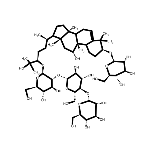 C[C@H](CC[C@@H](O[C@@H]1O[C@H](CO)[C@@H](O)[C@H](O)[C@H]1O[C@H]1O[C@@H](CO)[C@H](O[C@H]2O[C@H](CO)[C@@H](O)[C@H](O)[C@H]2O)[C@@H](O)[C@@H]1O)C(C)(C)O)C1CC[C@@]2(C)C3CC=C4C(CC[C@H](O[C@@H]5O[C@H](CO)[C@@H](O)[C@H](O)[C@H]5O)C4(C)C)[C@]3(C)[C@H](O)C[C@]12C